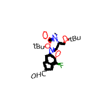 CN(C(=O)OC(C)(C)C)C(COC(C)(C)C)c1nc2cc3c(c(F)c2o1)CC(C=O)C3